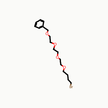 BrCCCCOCCOCCOCCOCc1ccccc1